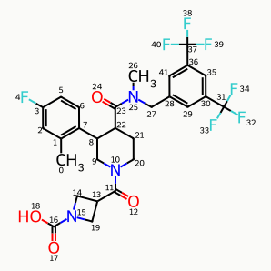 Cc1cc(F)ccc1C1CN(C(=O)C2CN(C(=O)O)C2)CCC1C(=O)N(C)Cc1cc(C(F)(F)F)cc(C(F)(F)F)c1